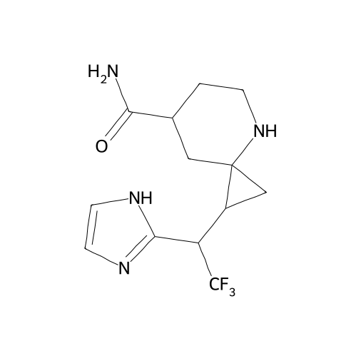 NC(=O)C1CCNC2(C1)CC2C(c1ncc[nH]1)C(F)(F)F